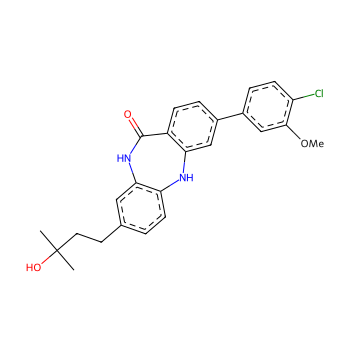 COc1cc(-c2ccc3c(c2)Nc2ccc(CCC(C)(C)O)cc2NC3=O)ccc1Cl